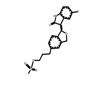 CS(=O)(=O)OCCCc1ccc2c(c1)CO/C2=C1/C(=O)Nc2ccc(F)cc21